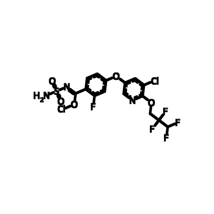 NS(=O)(=O)N=C(OCl)c1ccc(Oc2cnc(OCC(F)(F)C(F)F)c(Cl)c2)cc1F